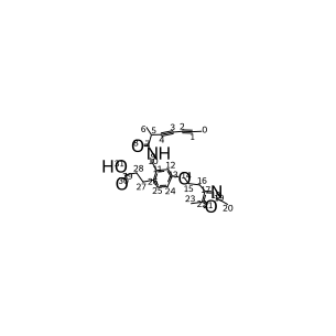 CC#CC#CC(C)C(=O)NCc1cc(OCCc2nc(C)oc2C)ccc1CCC(=O)O